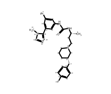 CC(C)c1cc(NC(=O)N[C@H](C)CCN2CCC[C@@H](Cc3ccc(F)cc3)C2)cc(-c2nnnn2C)c1